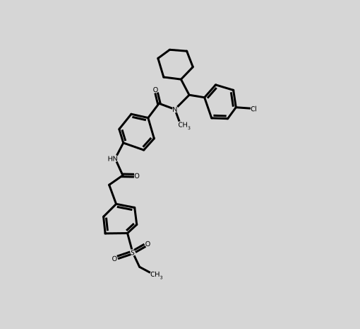 CCS(=O)(=O)c1ccc(CC(=O)Nc2ccc(C(=O)N(C)C(c3ccc(Cl)cc3)C3CCCCC3)cc2)cc1